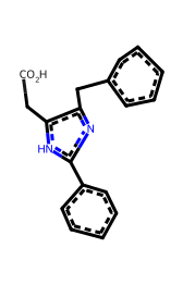 O=C(O)Cc1[nH]c(-c2ccccc2)nc1Cc1ccccc1